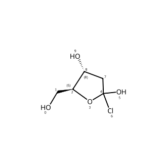 OC[C@@H]1OC(O)(Cl)C[C@H]1O